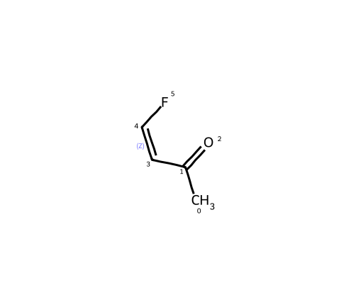 CC(=O)/C=C\F